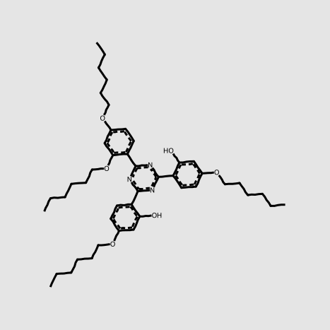 CCCCCCOc1ccc(-c2nc(-c3ccc(OCCCCCC)cc3O)nc(-c3ccc(OCCCCCC)cc3OCCCCCC)n2)c(O)c1